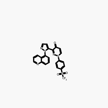 O=c1ccn(-c2ccc(S(=O)(=O)C(F)(F)F)cc2)nc1-c1ccnn1-c1cccc2ncccc12